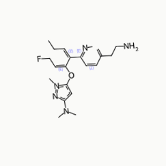 C=C(\C=C/C(=N\C)C(=C/CC)/C(=C\CF)Oc1cc(N(C)C)nn1C)CCN